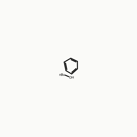 CCCCO.c1ccccc1